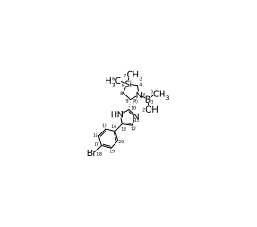 CB(O)N1C[Si](C)(C)C[C@H]1c1ncc(-c2ccc(Br)cc2)[nH]1